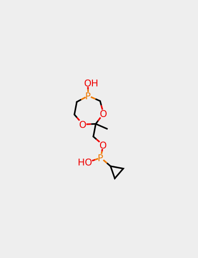 CC1(COP(O)C2CC2)OCCP(O)CO1